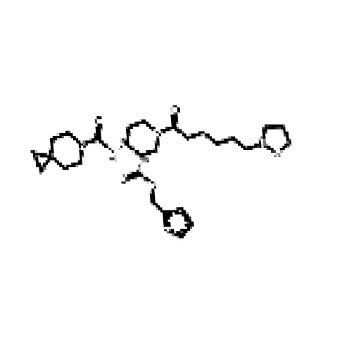 O=C(NCc1cccs1)[C@H]1CN(C(=O)CCCCCN2CCCS2)CC[C@H]1NC(=O)N1CCC2(CC1)CC2